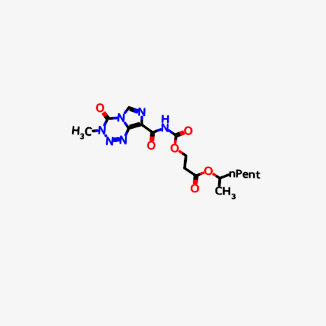 CCCCCC(C)OC(=O)CCOC(=O)NC(=O)c1ncn2c(=O)n(C)nnc12